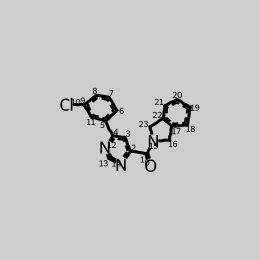 O=C(c1cc(-c2cccc(Cl)c2)ncn1)N1Cc2ccccc2C1